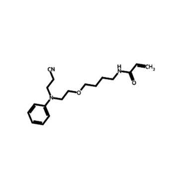 C=CC(=O)NCCCCOCCN(CCC#N)c1ccccc1